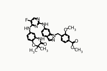 COC(=O)c1ccc(Cn2ncc3ccc(Nc4ncc(F)c(Nc5ccc6c(c5)NC(=O)C(C)(C)O6)n4)cc32)c(OC)c1